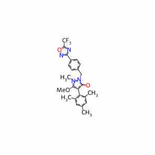 COc1c(-c2c(C)cc(C)cc2C)c(=O)n(Cc2ccc(-c3noc(C(F)(F)F)n3)cc2)n1C